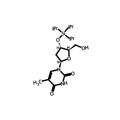 Cc1cn([C@H]2C[C@H](O[Si](C(C)C)(C(C)C)C(C)C)[C@@H](CO)O2)c(=O)[nH]c1=O